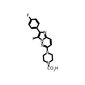 O=C(O)N1CCN(c2ccc3nc(-c4ccc(F)cc4)c(I)n3n2)CC1